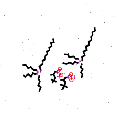 CC(C[PH](=O)[O-])CC(C)(C)C.CC(C[PH](=O)[O-])CC(C)(C)C.CCCCCCCCCCCCCC[P+](CCCCCC)(CCCCCC)CCCCCC.CCCCCCCCCCCCCC[P+](CCCCCC)(CCCCCC)CCCCCC